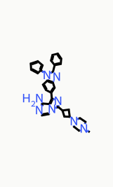 CN1CCN(C2CC(c3nc(-c4ccc5c(c4)nc(-c4ccccc4)n5-c4ccccc4)c4c(N)nccn34)C2)CC1